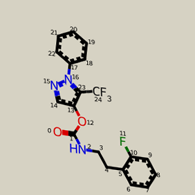 O=C(NCCc1ccccc1F)Oc1cnn(-c2ccccc2)c1C(F)(F)F